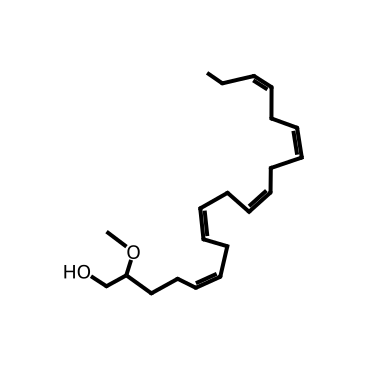 CC/C=C\C/C=C\C/C=C\C/C=C\C/C=C\CCC(CO)OC